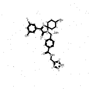 CCC[C@H](c1ccc(C(=O)NCc2nn[nH]n2)cc1)N1C(=O)C(c2cc(F)cc(Cl)c2)=NC12CCC(C(C)(C)C)CC2